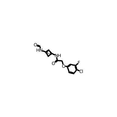 O=CNC12CC(NC(=O)COc3ccc(Cl)c(F)c3)(C1)C2